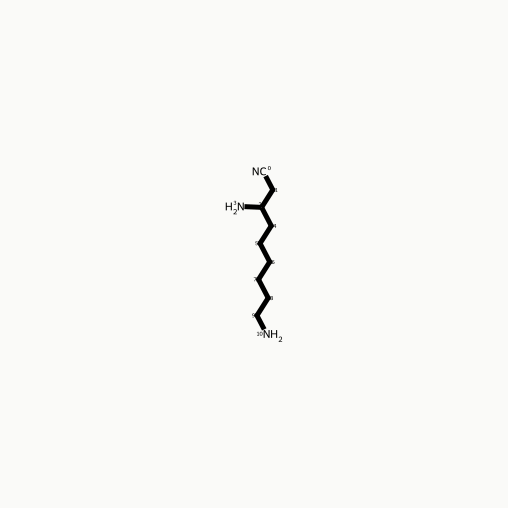 N#CCC(N)CCCCCCN